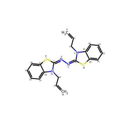 C=CCn1c(=NN=c2sc3ccccc3n2CC=C)sc2ccccc21